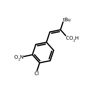 CC(C)(C)C(=Cc1ccc(Cl)c([N+](=O)[O-])c1)C(=O)O